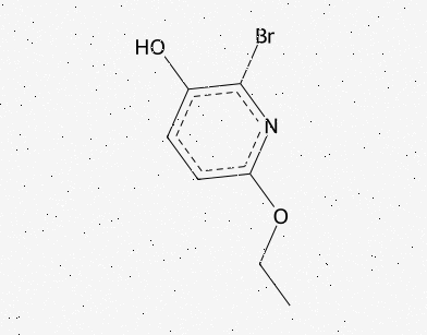 CCOc1ccc(O)c(Br)n1